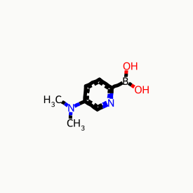 CN(C)c1ccc(B(O)O)nc1